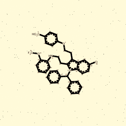 O=C(O)c1ccc(OCCc2c(CCNc3ccccc3OC(F)(F)F)n(C(c3ccccc3)c3ccccc3)c3ccc(Cl)cc23)cc1